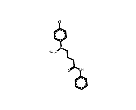 O=C(CCCN(C(=O)O)c1ccc(Cl)cc1)Nc1ccccc1